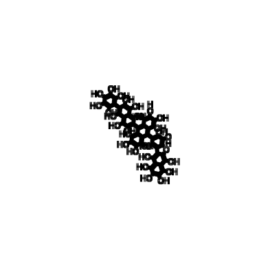 Oc1c(O)c(O)c(-c2c(O)c(O)c3c(O)c(-c4c5c(O)c(O)c(O)c(O)c5c(-c5c(O)c(O)c6oc7c(O)c8c(O)c(O)c(O)c(O)c8c(O)c7c6c5O)c5c(O)c(O)c(O)c(O)c45)c(O)c(O)c3c2O)c(O)c1O